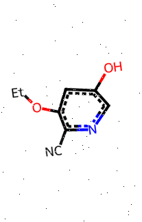 CCOc1cc(O)cnc1C#N